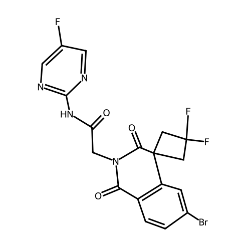 O=C(CN1C(=O)c2ccc(Br)cc2C2(CC(F)(F)C2)C1=O)Nc1ncc(F)cn1